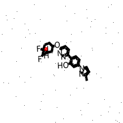 Cc1ccn(-c2ccc(-c3ccc(OC4CC5NCC6(C4)C(F)C56F)nn3)c(O)c2)n1